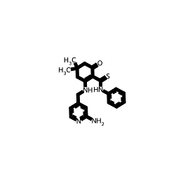 CC1(C)CC(=O)C(C(=S)Nc2ccccc2)=C(NCc2ccnc(N)c2)C1